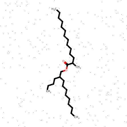 CCCCCCCCCCCCC(C)C(=O)OCC(CCCC)CCCCCCCCC